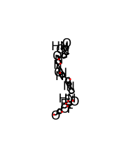 COc1ccc(COc2c(F)cc(C(=O)NC[C@H]3CC[C@H](n4cc5ccc(-c6cnc(OCCN7CCN(C(=O)c8ccc(C)c(N9CCC(=O)NC9=O)c8)CC7)nc6)cc5n4)CC3)c(F)c2F)cc1